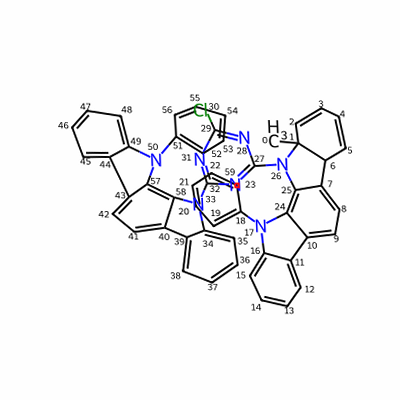 CC12C=CC=CC1c1ccc3c4ccccc4n(-c4ccccc4)c3c1N2c1nc(Cl)nc(-n2c3ccccc3c3ccc4c5ccccc5n(-c5ccccc5)c4c32)n1